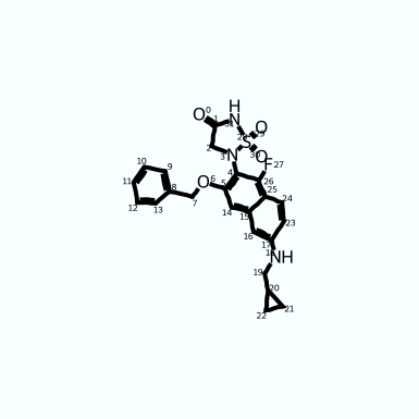 O=C1CN(c2c(OCc3ccccc3)cc3cc(NCC4CC4)ccc3c2F)S(=O)(=O)N1